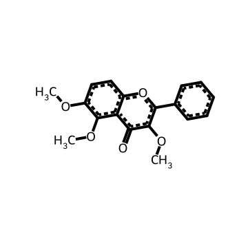 COc1ccc2oc(-c3ccccc3)c(OC)c(=O)c2c1OC